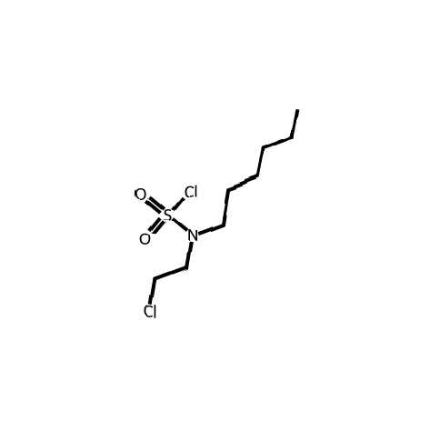 CCCCCCN(CCCl)S(=O)(=O)Cl